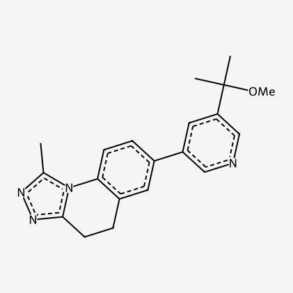 COC(C)(C)c1cncc(-c2ccc3c(c2)CCc2nnc(C)n2-3)c1